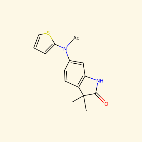 CC(=O)N(c1ccc2c(c1)NC(=O)C2(C)C)c1cccs1